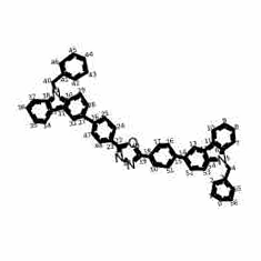 c1ccc(Cn2c3ccccc3c3cc(-c4ccc(-c5nnc(-c6ccc(-c7ccc8c(c7)c7ccccc7n8Cc7ccccc7)cc6)o5)cc4)ccc32)cc1